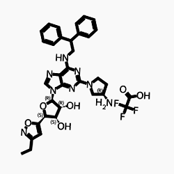 CCc1cc([C@H]2O[C@@H](n3cnc4c(NCC(c5ccccc5)c5ccccc5)nc(N5CC[C@@H](N)C5)nc43)[C@H](O)[C@@H]2O)on1.O=C(O)C(F)(F)F